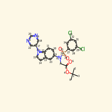 CC(C)(C)OC(=O)CN(c1ccc2c(ccn2-c2cncnc2)c1)S(=O)(=O)c1cc(Cl)cc(Cl)c1